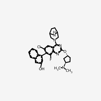 CN(C)[C@@H]1CC[C@@H](Oc2nc(N3CC4CCC(C3)N4)c3cc(Cl)c(-c4cc(O)cc5ccccc45)c(F)c3n2)C1